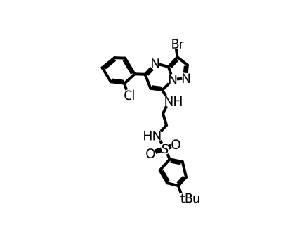 CC(C)(C)c1ccc(S(=O)(=O)NCCNc2cc(-c3ccccc3Cl)nc3c(Br)cnn23)cc1